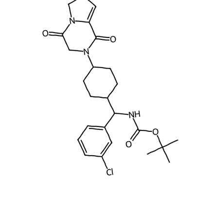 CC(C)(C)OC(=O)NC(c1cccc(Cl)c1)C1CCC(N2CC(=O)N3CCC=C3C2=O)CC1